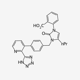 CCCc1cn(-c2ccccc2C(=O)O)c(=O)n1Cc1ccc(-c2cccnc2-c2nnn[nH]2)cc1